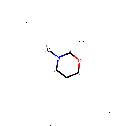 CN1[CH]OCCC1